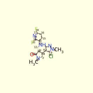 CN1C[C@H](c2cnn(C)c2Cl)[C@@H](CNc2ccc(F)nc2F)C1=O